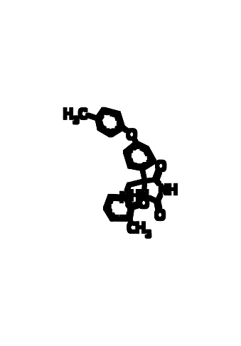 Cc1ccc(Oc2ccc(C3(Cn4cccc(C)c4=O)NC(=O)NC3=O)cc2)cc1